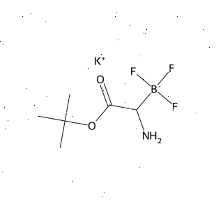 CC(C)(C)OC(=O)C(N)[B-](F)(F)F.[K+]